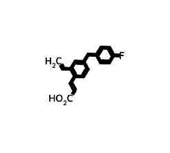 C=Cc1cc(Cc2ccc(F)cc2)ccc1C=CC(=O)O